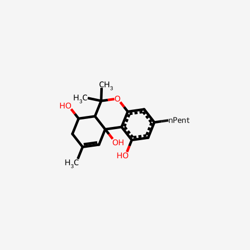 CCCCCc1cc(O)c2c(c1)OC(C)(C)C1C(O)CC(C)=CC21O